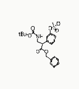 CC(C)(C)OC(=O)NCC(C(=O)OCc1ccccc1)c1cccc(OS(C)(=O)=O)c1